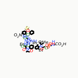 CC1COc2ccccc2N1C(=O)C(Cl)Cl.CCNc1nc(Cl)nc(NC(C)C)n1.CCc1cccc(C)c1N(C(=O)CCl)C(C)COC.C[S+](C)C.Nc1c([N+](=O)[O-])ccc(Oc2ccccc2)c1Cl.O=C(O)CNCP(=O)([O-])O